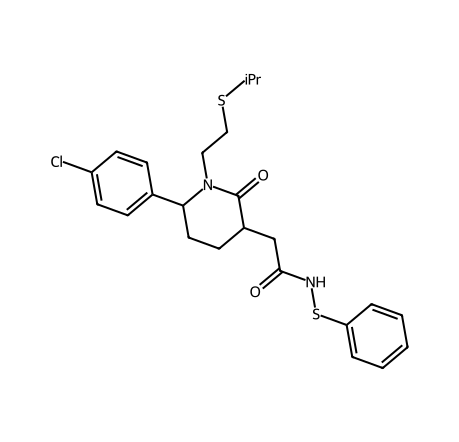 CC(C)SCCN1C(=O)C(CC(=O)NSc2ccccc2)CCC1c1ccc(Cl)cc1